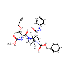 C#CCO[C@H](C)[C@H](NC(=O)OC(C)(C)C)C(=O)N1CC[C@@H]2[C@H]1[C@@H](C(=O)Nc1ccccc1)CN2C(=O)OCc1ccccc1